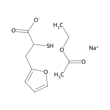 CCOC(C)=O.O=C([O-])C(S)Cc1ccco1.[Na+]